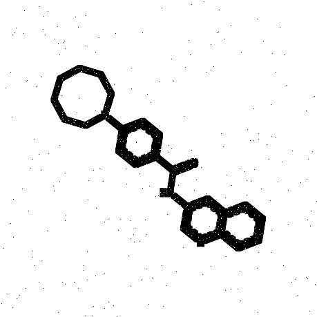 O=C(Nc1cnc2ccccc2c1)c1ccc(N2CCCCCCC2)cc1